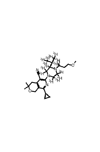 [2H]C([2H])([2H])C([2H])(C([2H])([2H])[2H])C1([2H])N(C(=O)CCOC)C([2H])([2H])C([2H])([2H])N(c2nc(C3CC3)c3c(c2C#N)CC(C)(C)OC3)C1([2H])[2H]